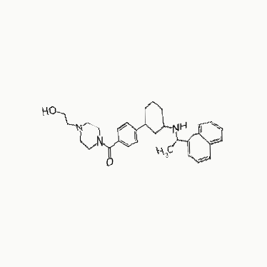 C[C@@H](NC1CCCC(c2ccc(C(=O)N3CCN(CCO)CC3)cc2)C1)c1cccc2ccccc12